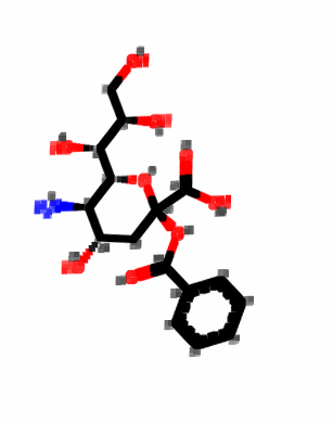 N[C@H]1[C@H]([C@H](O)[C@H](O)CO)O[C@](OC(=O)c2ccccc2)(C(=O)O)C[C@@H]1O